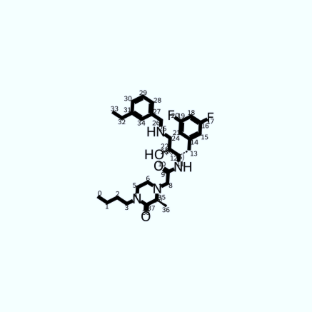 CCCCN1CCN(CC(=O)N[C@@H](Cc2cc(F)cc(F)c2)[C@H](O)CNCc2cccc(CC)c2)[C@@H](C)C1=O